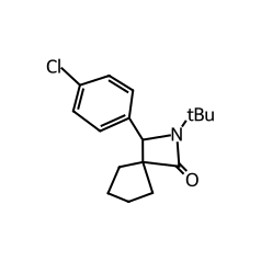 CC(C)(C)N1C(=O)C2(CCCC2)C1c1ccc(Cl)cc1